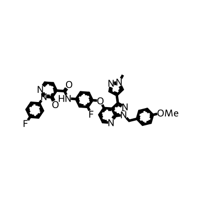 COc1ccc(Cn2nc(-c3cnn(C)c3)c3c(Oc4ccc(NC(=O)c5ccnn(-c6ccc(F)cc6)c5=O)cc4F)ccnc32)cc1